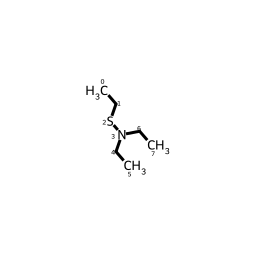 CCSN(CC)CC